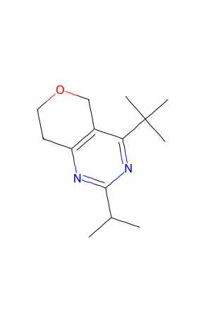 CC(C)c1nc2c(c(C(C)(C)C)n1)COCC2